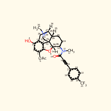 CC(=O)Oc1cc(O)c2c3c1O[C@H]1[C@H](N(C)C(=O)C#Cc4ccc(C(F)(F)F)cc4)CC[C@H]4[C@@H](C2)N(C)CC[C@@]341